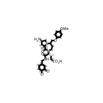 COc1ccc(OCC2CCN([C@H](CCC(=O)O)C(=O)NCc3ccc(Cl)c(Cl)c3)C(=O)[C@@H]3C[C@@H](N)CN23)cc1